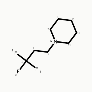 FC(F)(F)CCN1CC[CH]CC1